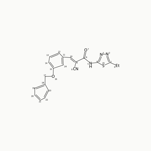 CCc1nnc(NC(=O)/C(C#N)=C/c2cccc(OCc3ccccc3)c2)s1